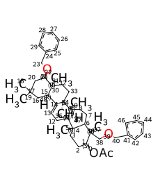 CC(=O)O[C@H]1CC[C@@]2(C)C(CC[C@]3(C)[C@@H]2CC=C2[C@H]4CC(C)(C)C[C@@H](OCc5ccccc5)[C@]4(C)CC[C@]23C)[C@]1(C)COCc1ccccc1